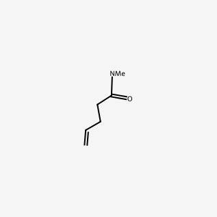 C=CCCC(=O)NC